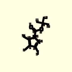 Cc1c(I)nn(C(=O)OC(C)(C)C)c1C